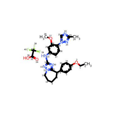 CCOc1ccc(C2CCCCn3nc(Nc4ccc(-n5cnc(C)n5)c(OC)c4)nc32)cc1.O=C(O)C(F)(F)F